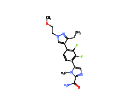 CCc1nn(CCOC)cc1-c1ccc(-c2cnc(C(N)=O)n2C)c(F)c1F